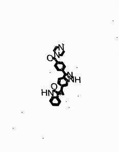 CN1CCN(C(=O)c2ccc(-c3n[nH]c4cc(C5C[C@@]56C(=O)Nc5ccccc56)ccc34)cc2)CC1